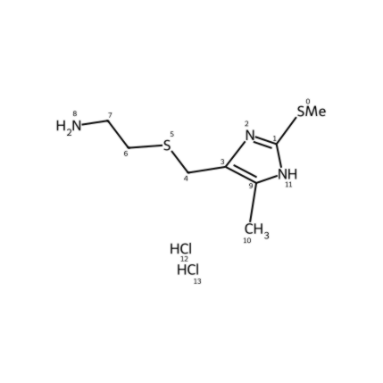 CSc1nc(CSCCN)c(C)[nH]1.Cl.Cl